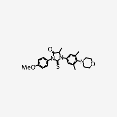 COc1ccc(N2C(=O)C(C)N(c3cc(C)c(N4CCOCC4)c(C)c3)C2=S)cc1